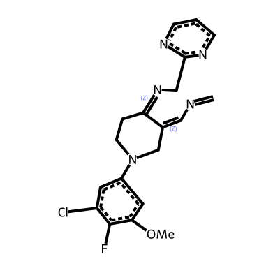 C=N/C=C1/CN(c2cc(Cl)c(F)c(OC)c2)CC/C1=N/Cc1ncccn1